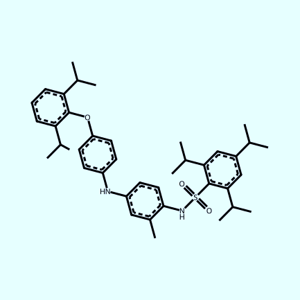 Cc1cc(Nc2ccc(Oc3c(C(C)C)cccc3C(C)C)cc2)ccc1NS(=O)(=O)c1c(C(C)C)cc(C(C)C)cc1C(C)C